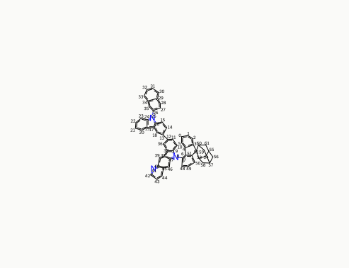 c1ccc2c(c1)-c1c(-n3c4ccc(-c5ccc6c(c5)c5ccccc5n6-c5ccc6ccccc6c5)cc4c4cc5ncccc5cc43)cccc1C21C2CC3CC(C2)CC1C3